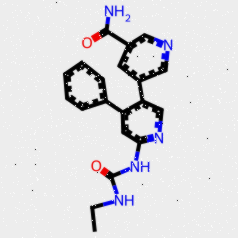 CCNC(=O)Nc1cc(-c2ccccc2)c(-c2cncc(C(N)=O)c2)cn1